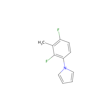 Cc1c(F)ccc(-n2cccc2)c1F